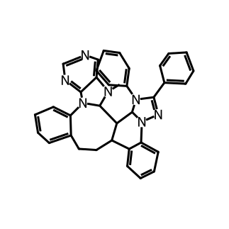 CN1c2cncnc2N2c3ccccc3CCC3c4ccccc4N4N=C(c5ccccc5)N(c5ccccc5)C4C3C12